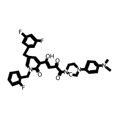 CN(C)c1ccc(N2CCN(C(=O)C(=O)C=C(O)c3cc(Cc4cc(F)cc(F)c4)cn(Cc4ccccc4F)c3=O)CC2)cc1